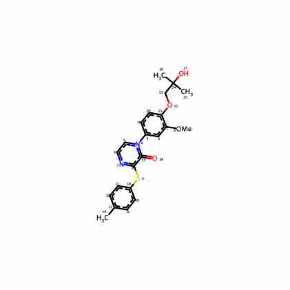 COc1cc(-n2ccnc(Sc3ccc(C)cc3)c2=O)ccc1OCC(C)(C)O